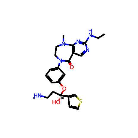 CCNc1ncc2c(n1)N(C)CCN(c1cccc(O[C@](O)(CCNC)c3ccsc3)c1)C2=O